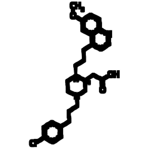 COc1ccc2nccc(CCC[C@@H]3CCN(CCCc4ccc(Cl)cc4)C[C@@H]3CC(=O)O)c2c1